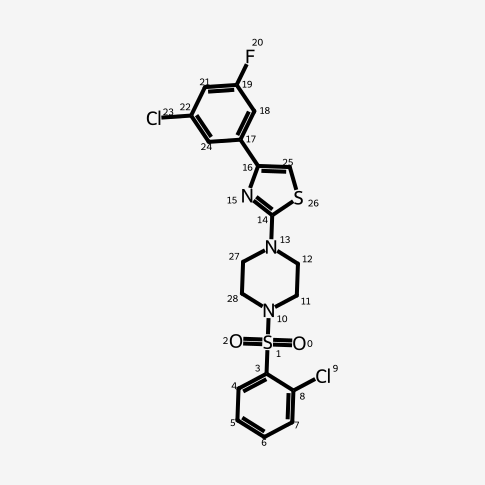 O=S(=O)(c1ccccc1Cl)N1CCN(c2nc(-c3cc(F)cc(Cl)c3)cs2)CC1